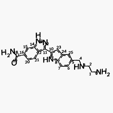 NCCNCc1ccc2[nH]c(-c3n[nH]c4cc(C(N)=O)ccc34)cc2c1